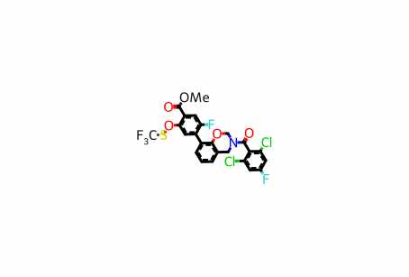 COC(=O)c1cc(F)c(-c2cccc3c2OCN(C(=O)c2c(Cl)cc(F)cc2Cl)C3)cc1OSC(F)(F)F